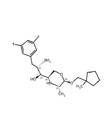 C[C@@H]1N[C@@H]([C@@H](O)[C@@H](N)Cc2cc(F)cc(F)c2)CO[C@H]1OCC1(C)CCCC1